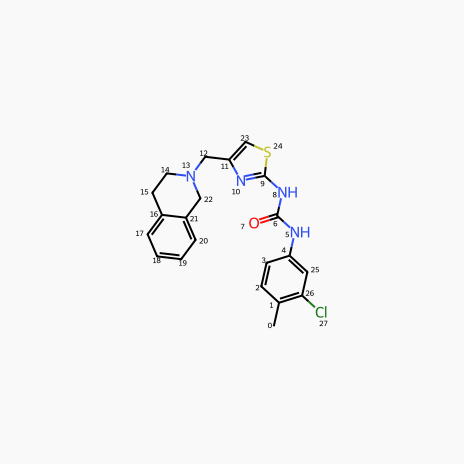 Cc1ccc(NC(=O)Nc2nc(CN3CCc4ccccc4C3)cs2)cc1Cl